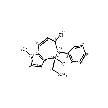 CC[N+]1([O-])c2cc[s+]([O-])c2C=CC(Cl)N1c1ccccc1